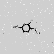 CCCOc1ccc(CCC)cc1F